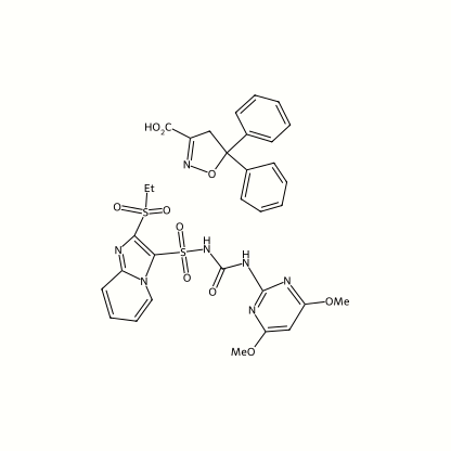 CCS(=O)(=O)c1nc2ccccn2c1S(=O)(=O)NC(=O)Nc1nc(OC)cc(OC)n1.O=C(O)C1=NOC(c2ccccc2)(c2ccccc2)C1